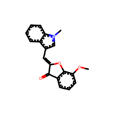 COc1cccc2c1OC(=Cc1cn(C)c3ccccc13)C2=O